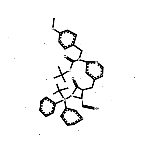 COc1ccc(CN(C(=O)OC(C)(C)C)c2cc(CC3C(=O)N([Si](c4ccccc4)(c4ccccc4)C(C)(C)C)[C@@H]3C=N)ccn2)cc1